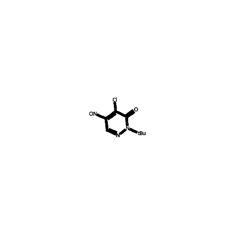 CC(C)(C)n1ncc(N=O)c(Cl)c1=O